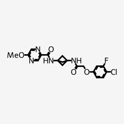 COc1cnc(C(=O)NC23CC(NC(=O)COc4ccc(Cl)c(F)c4)(C2)C3)cn1